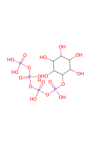 O=P(O)(O)OP(=O)(O)OP(=O)(O)OP(=O)(O)OC1C(O)C(O)C(O)C(O)C1O